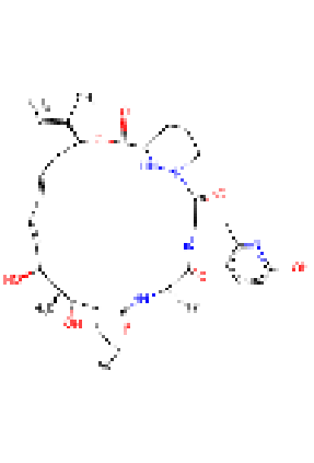 C/C=C(\C)[C@@H]1C/C=C/C=C/[C@H](O)[C@H](C)[C@@H](O)[C@@H](CCC(C)=O)C(=O)N[C@@H](C(C)C)C(=O)N[C@@H](Cc2cccc(O)n2)C(=O)N2CCCC(N2)C(=O)O1